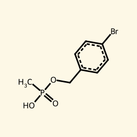 CP(=O)(O)OCc1ccc(Br)cc1